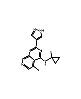 Cc1cncc2nc(-c3cn[nH]c3)nc(NC3(C)CC3)c12